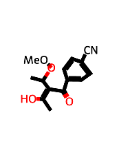 COOC(C)/C(C(=O)c1ccc(C#N)cc1)=C(/C)O